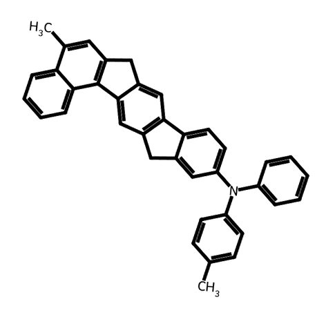 Cc1ccc(N(c2ccccc2)c2ccc3c(c2)Cc2cc4c(cc2-3)Cc2cc(C)c3ccccc3c2-4)cc1